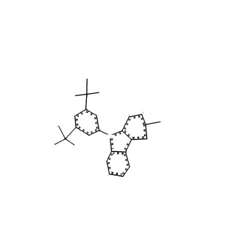 CC(C)(C)c1cc(-n2c3ccccc3c3cc(Br)ccc32)cc(C(C)(C)C)c1